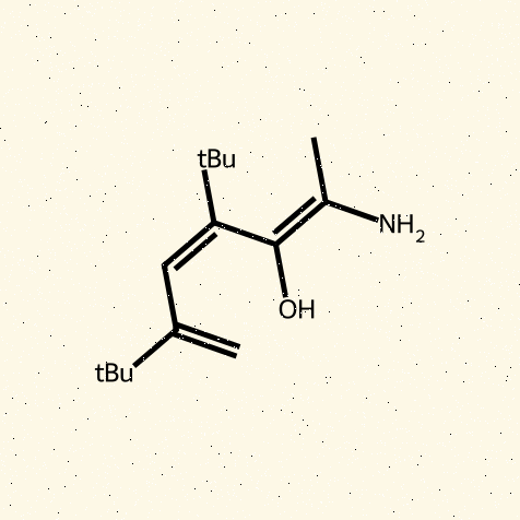 C=C(/C=C(\C(O)=C(/C)N)C(C)(C)C)C(C)(C)C